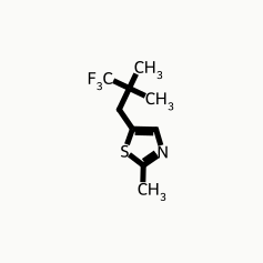 Cc1ncc(CC(C)(C)C(F)(F)F)s1